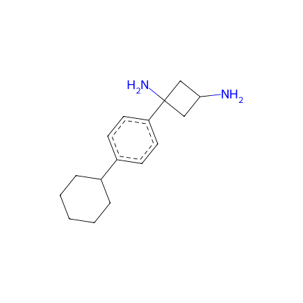 NC1CC(N)(c2ccc(C3CCCCC3)cc2)C1